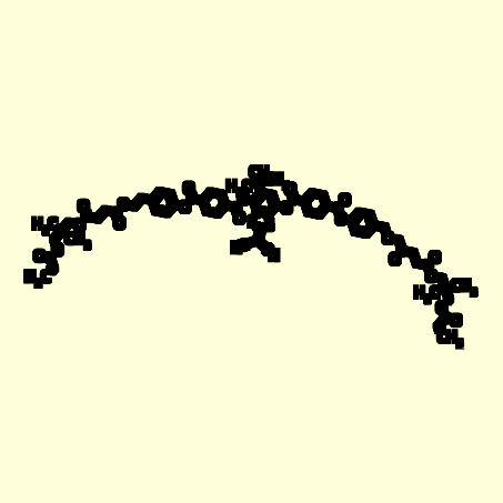 C=CC(=O)OCC(C)(C)COC(=O)CCC(=O)COCc1ccc(OC(=O)C2CCC(C(=O)Oc3cc(C(C)(C)C)c(OC(=O)C4CCC(C(=O)Oc5ccc(CCOC(=O)CCC(=O)OCC(C)(C)COC(=O)C=C)cc5)CC4)c4c3SC(=C(C#N)C#N)S4)CC2)cc1